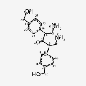 NCC(C(=O)C(CN)c1ccc(CO)cc1)c1ccc(CO)cc1